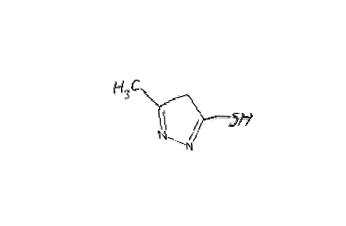 CC1=NN=C(S)C1